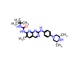 Cc1cc2cnc(Nc3ccc(N4C[C@@H](C)N[C@@H](C)C4)cc3)nc2nc1NC(=O)NC(C)(C)C